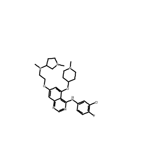 CN1CCC(Oc2cc(OCCN(C)C3CCN(C)C3)cc3ncnc(Nc4ccc(F)c(Cl)c4)c23)CC1